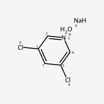 Clc1cncc(Cl)c1.O.[NaH]